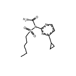 CCCCCS(=O)(=O)N(C(N)=O)c1nccc(C2CC2)n1